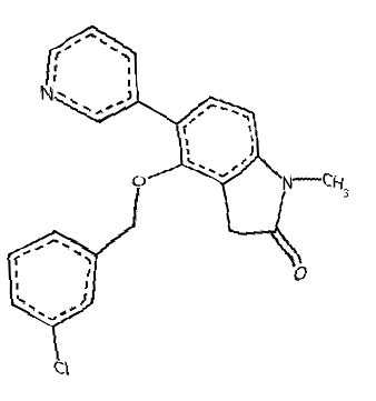 CN1C(=O)Cc2c1ccc(-c1cccnc1)c2OCc1cccc(Cl)c1